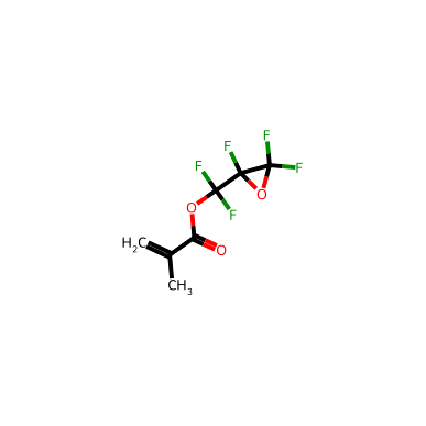 C=C(C)C(=O)OC(F)(F)C1(F)OC1(F)F